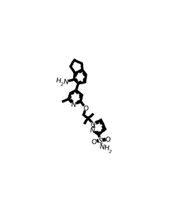 Cc1cc(-c2ccc3c(c2N)CCC3)cc(OCC(C)(C)n2ccc(S(N)(=O)=O)n2)n1